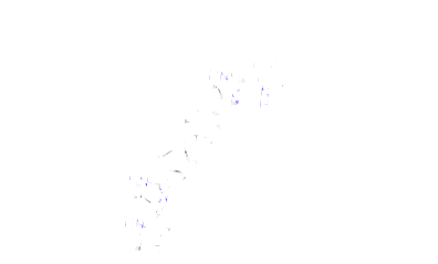 c1cc(C2CCC(c3c[nH]c([C@@H]4CCCN4)n3)CC2)ccc1-c1nc([C@@H]2CCCN2)c[nH]1